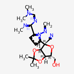 C=Nn1c(C(/N=C\N(C)C)=N\C)ccc1[C@]1(C#N)O[C@H](CO)[C@H]2OC(C)(C)O[C@H]21